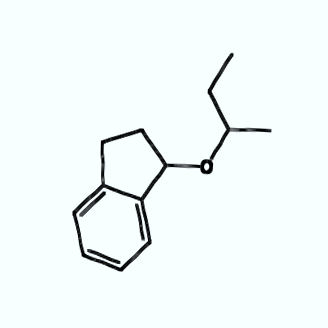 CCC(C)OC1CCc2ccccc21